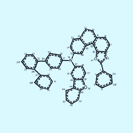 c1ccc(-c2nc3ccc4ccc5ccc(N(c6ccc(-c7ccccc7-c7ccccc7)cc6)c6ccc7oc8ccccc8c7c6)cc5c4c3o2)cc1